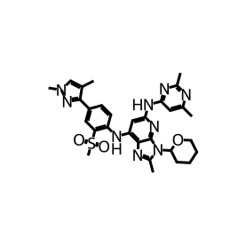 Cc1cc(Nc2cc(Nc3ccc(-c4nn(C)cc4C)cc3S(C)(=O)=O)c3nc(C)n(C4CCCCO4)c3n2)nc(C)n1